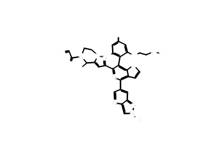 C=CC(=O)N1CCn2nc(-c3nc(-c4cnc5cn(C)nc5c4)c4ccsc4c3-c3c(F)cc(F)cc3OCCOC)cc2C1C